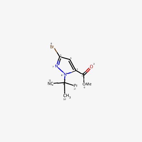 COC(=O)c1cc(Br)nn1C(C)(C#N)C(C)C